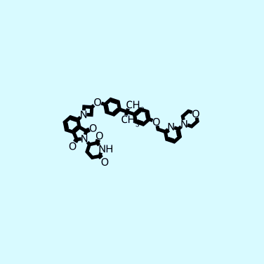 CC(C)(c1ccc(OCc2cccc(N3CCOCC3)n2)cc1)c1ccc(OC2CN(c3cccc4c3C(=O)N(C3CCC(=O)NC3=O)C4=O)C2)cc1